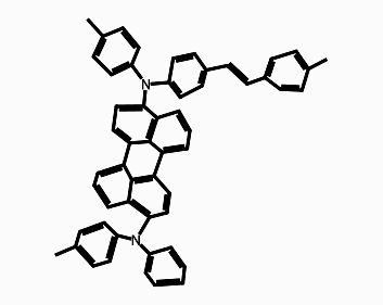 Cc1ccc(C=Cc2ccc(N(c3ccc(C)cc3)c3ccc4c5cccc6c(N(c7ccccc7)c7ccc(C)cc7)ccc(c7cccc3c74)c65)cc2)cc1